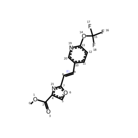 COC(=O)c1coc(/C=C/c2ccc(OC(F)(F)F)nc2)n1